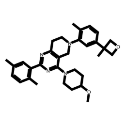 COC1CCN(c2nc(-c3cc(C)ccc3C)nc3c2CN(c2cc(C4(C)COC4)ccc2C)CC3)CC1